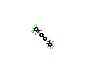 O=C1c2c(Cl)c(Cl)c(Cl)c(Cl)c2C(=O)N1c1ccc(-c2ccc(N3C(=O)c4c(Cl)c(Cl)c(Cl)c(Cl)c4C3=O)cc2)cc1